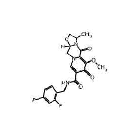 COc1c2n(cc(C(=O)NCc3ccc(F)cc3F)c1=O)C[C@@H]1OC[C@@H](C)N1C2=O